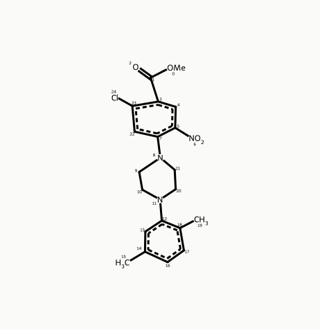 COC(=O)c1cc([N+](=O)[O-])c(N2CCN(c3cc(C)ccc3C)CC2)cc1Cl